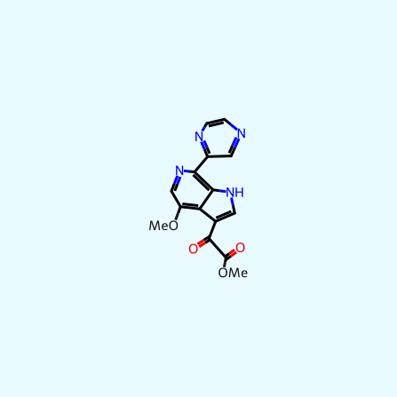 COC(=O)C(=O)c1c[nH]c2c(-c3cnccn3)ncc(OC)c12